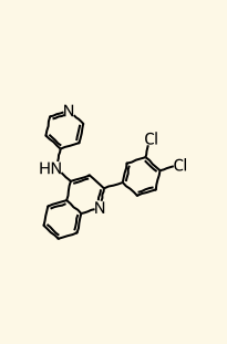 Clc1ccc(-c2cc(Nc3ccncc3)c3ccccc3n2)cc1Cl